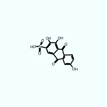 O=C1c2cc(O)ccc2C(=O)c2c1cc(S(=O)(=O)O)c(O)c2O